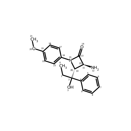 CCC(O)(c1ccccc1)[C@H]1[C@H](N)C(=O)N1c1ccc(OC)cc1